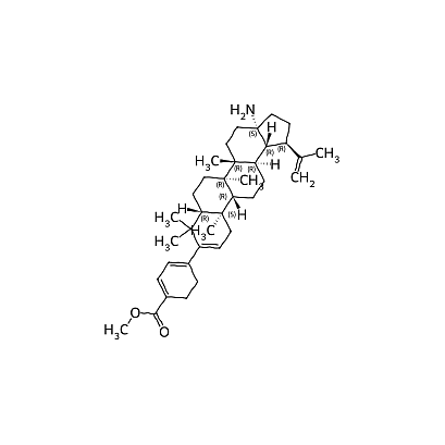 C=C(C)[C@@H]1CC[C@]2(N)CC[C@]3(C)[C@H](CC[C@@H]4[C@@]5(C)CC=C(C6=CC=C(C(=O)OC)CC6)C(C)(C)[C@@H]5CC[C@]43C)[C@@H]12